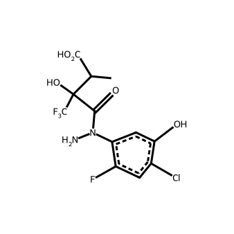 CC(C(=O)O)C(O)(C(=O)N(N)c1cc(O)c(Cl)cc1F)C(F)(F)F